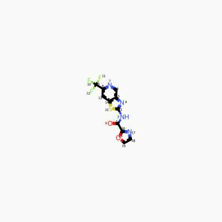 O=C(Nc1nc2cnc(C(F)(F)F)cc2s1)c1ncco1